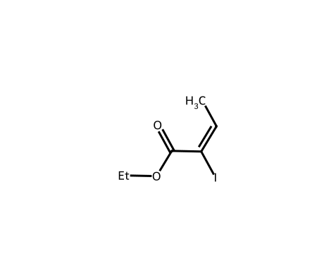 C/C=C(/I)C(=O)OCC